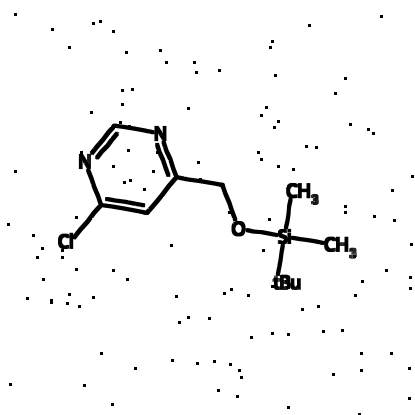 CC(C)(C)[Si](C)(C)OCc1cc(Cl)ncn1